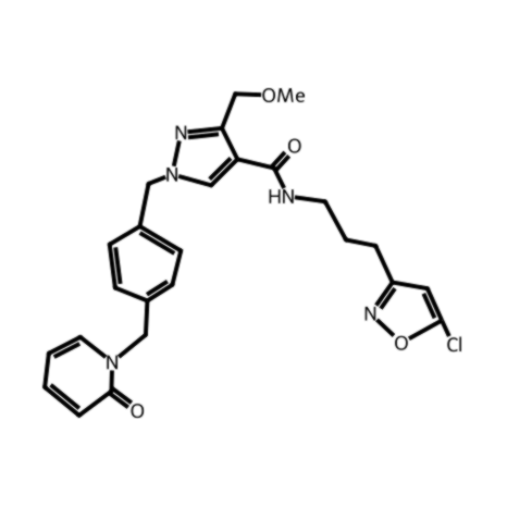 COCc1nn(Cc2ccc(Cn3ccccc3=O)cc2)cc1C(=O)NCCCc1cc(Cl)on1